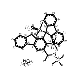 CC(O[Si](C)(C)C)c1cc2c(c([C]3([Zr]([CH3])([CH3])=[SiH2])c4ccccc4-c4ccccc43)c1[SiH](C)C)Cc1ccccc1-2.Cl.Cl